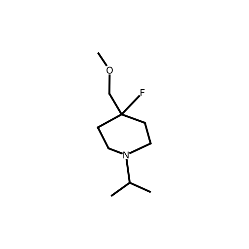 COCC1(F)CCN(C(C)C)CC1